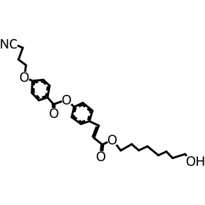 N#CCCCOc1ccc(C(=O)Oc2ccc(C=CC(=O)OCCCCCCCCO)cc2)cc1